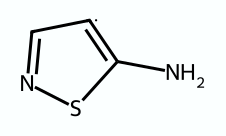 Nc1[c]cns1